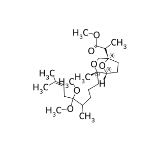 COC(=O)C(C)[C@@]12CC[C@@H](O1)[C@](C)(CCCC(C)C(CC=C(C)C)(OC)OC)OC2